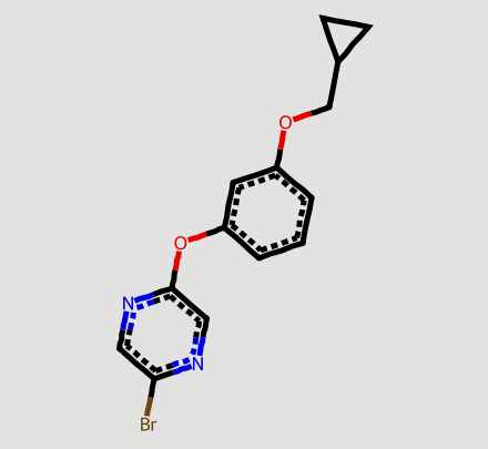 Brc1cnc(Oc2cccc(OCC3CC3)c2)cn1